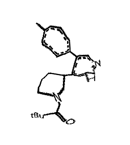 Cc1ccc(-c2cn[nH]c2C2CCCN(C(=O)C(C)(C)C)C2)cc1